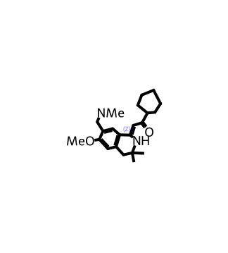 CNCc1cc2c(cc1OC)CC(C)(C)N/C2=C\C(=O)C1CCCCC1